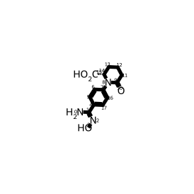 N/C(=N\O)c1ccc(N2C(=O)CCC[C@H]2C(=O)O)cc1